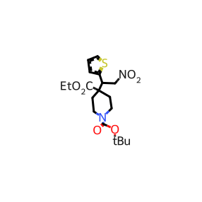 CCOC(=O)C1(C(C[N+](=O)[O-])c2cccs2)CCN(C(=O)OC(C)(C)C)CC1